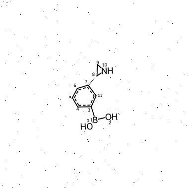 OB(O)c1cccc([C@@H]2CN2)c1